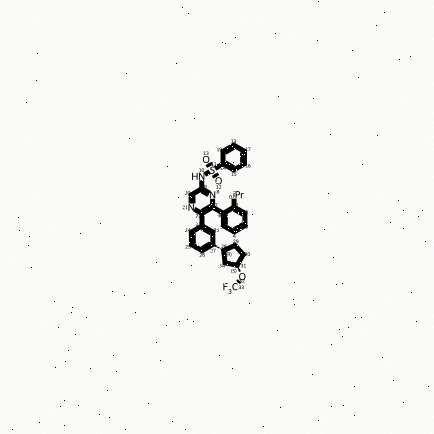 CC(C)c1ccccc1-c1nc(NS(=O)(=O)c2ccccc2)cnc1-c1cccc([C@@H]2CC[C@H](OC(F)(F)F)C2)c1